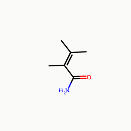 CC(C)=C(C)C(N)=O